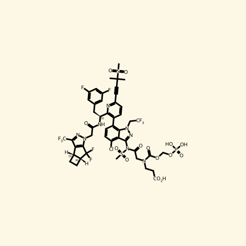 CC(C)(C#Cc1ccc(-c2ccc(Cl)c3c(N(C(=O)CN(CCC(=O)O)C(=O)OCOP(=O)(O)O)S(C)(=O)=O)nn(CC(F)(F)F)c23)c([C@H](Cc2cc(F)cc(F)c2)NC(=O)Cn2nc(C(F)(F)F)c3c2C(F)(F)[C@@H]2CC[C@H]32)n1)S(C)(=O)=O